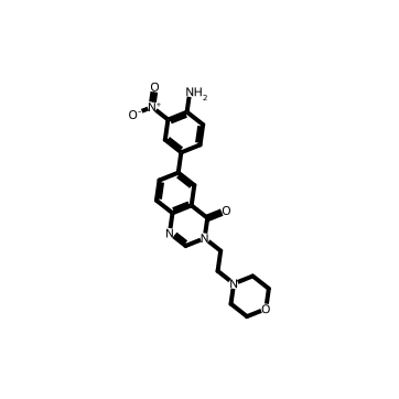 Nc1ccc(-c2ccc3ncn(CCN4CCOCC4)c(=O)c3c2)cc1[N+](=O)[O-]